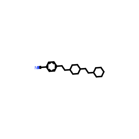 N#Cc1ccc(CCC2CCC(CCC3CCCCC3)CC2)cc1